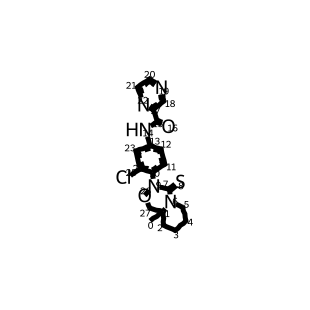 CC12CCCCN1C(=S)N(c1ccc(NC(=O)c3cnccn3)cc1Cl)OC2